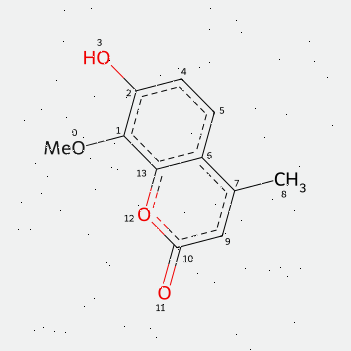 COc1c(O)ccc2c(C)cc(=O)oc12